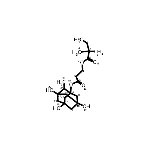 CCC(C)(C)C(=O)OCCC(=O)OC12CC3(O)CC(O)(CC(O)(C3)C1C)C2